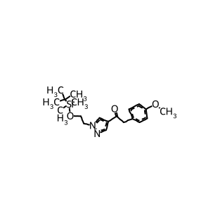 COc1ccc(CC(=O)c2cnn(CCO[Si](C)(C)C(C)(C)C)c2)cc1